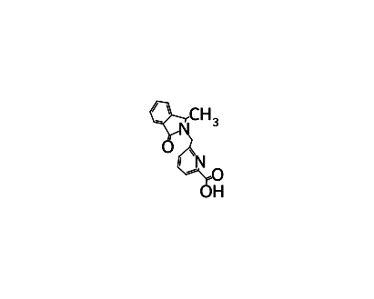 CC1c2ccccc2C(=O)N1Cc1cccc(C(=O)O)n1